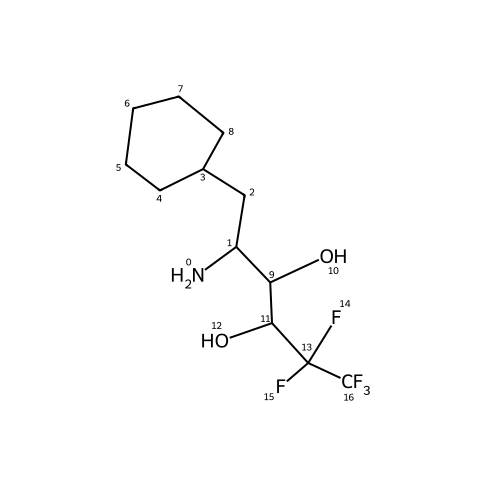 NC(CC1CCCCC1)C(O)C(O)C(F)(F)C(F)(F)F